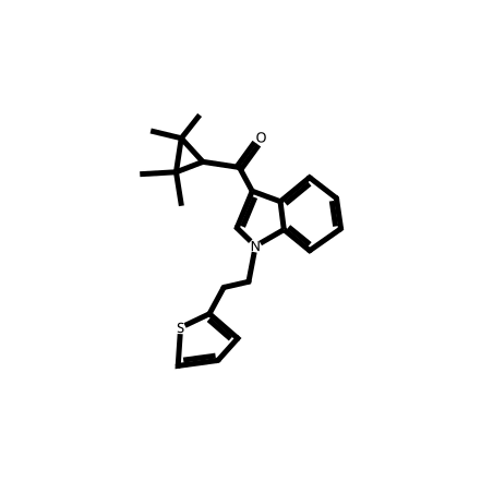 CC1(C)C(C(=O)c2cn(CCc3cccs3)c3ccccc23)C1(C)C